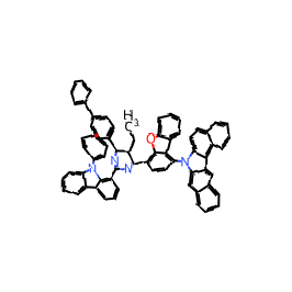 CCC1C(c2ccc(-n3c4cc5ccccc5cc4c4c5ccccc5ccc43)c3c2oc2ccccc23)=NC(c2cccc3c4ccccc4n(-c4ccccc4)c23)=NC1c1ccc(-c2ccccc2)cc1